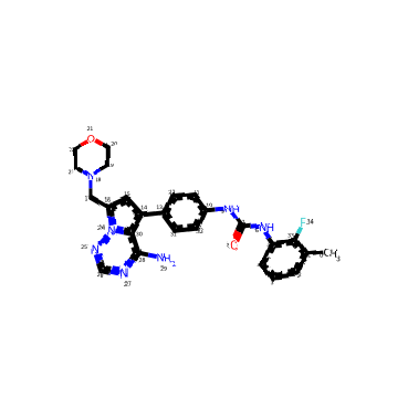 Cc1cccc(NC(=O)Nc2ccc(-c3cc(CN4CCOCC4)n4ncnc(N)c34)cc2)c1F